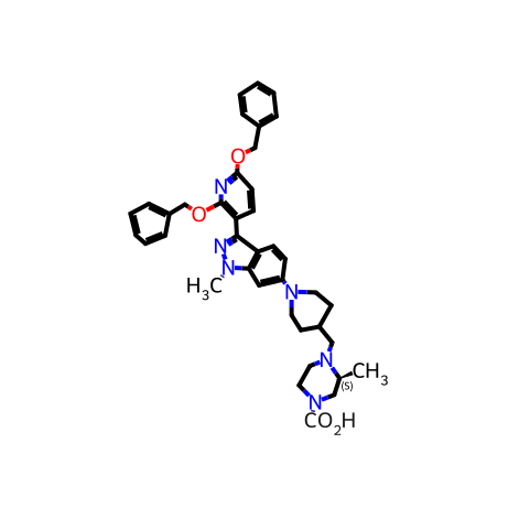 C[C@H]1CN(C(=O)O)CCN1CC1CCN(c2ccc3c(-c4ccc(OCc5ccccc5)nc4OCc4ccccc4)nn(C)c3c2)CC1